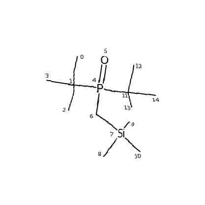 CC(C)(C)P(=O)(C[Si](C)(C)C)C(C)(C)C